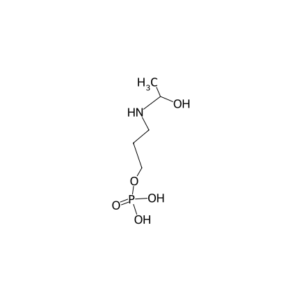 CC(O)NCCCOP(=O)(O)O